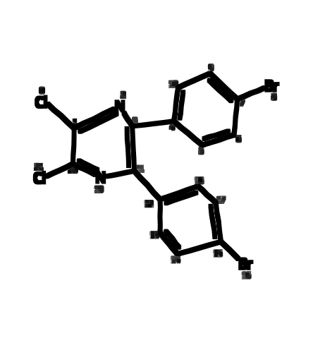 Clc1nc(-c2ccc(Br)cc2)c(-c2ccc(Br)cc2)nc1Cl